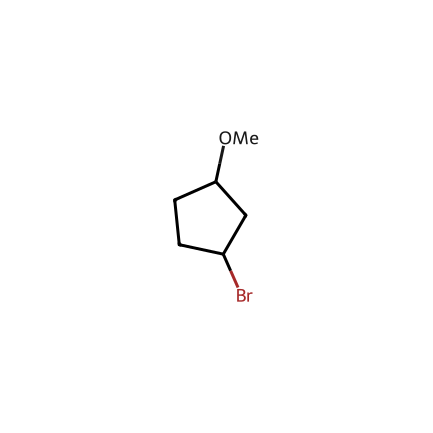 COC1CCC(Br)C1